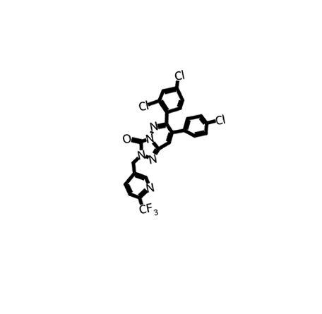 O=c1n(Cc2ccc(C(F)(F)F)nc2)nc2cc(-c3ccc(Cl)cc3)c(-c3ccc(Cl)cc3Cl)nn12